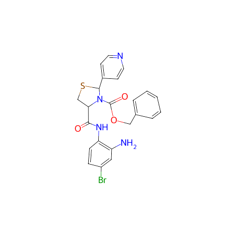 Nc1cc(Br)ccc1NC(=O)C1CSC(c2ccncc2)N1C(=O)OCc1ccccc1